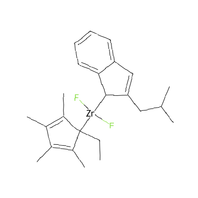 CC[C]1([Zr]([F])([F])[CH]2C(CC(C)C)=Cc3ccccc32)C(C)=C(C)C(C)=C1C